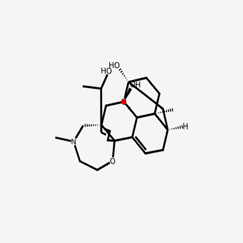 CC(O)C1=CCC23OCCN(C)C[C@@]12C[C@@H](O)[C@]12O[C@@]4(O)CC[C@@]1(C)[C@H](CC=C32)C4